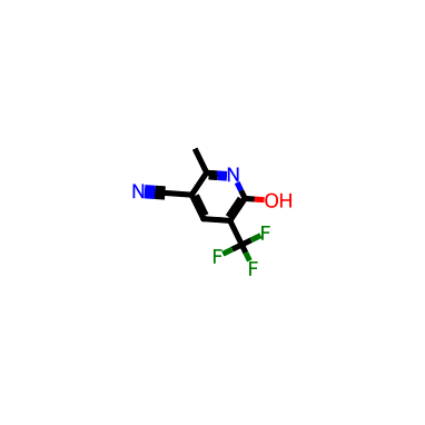 Cc1nc(O)c(C(F)(F)F)cc1C#N